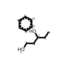 CCC(O)CCO.c1ccccc1